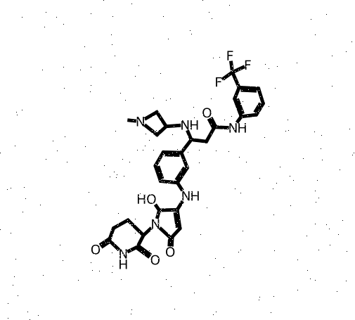 CN1CC(NC(CC(=O)Nc2cccc(C(F)(F)F)c2)c2cccc(NC3=CC(=O)N(C4CCC(=O)NC4=O)C3O)c2)C1